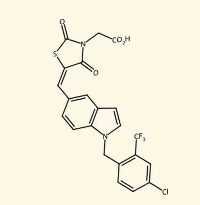 O=C(O)CN1C(=O)SC(=Cc2ccc3c(ccn3Cc3ccc(Cl)cc3C(F)(F)F)c2)C1=O